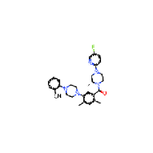 Cc1cc(C)c(N2CCN(c3ccccc3C#N)CC2)cc1C(=O)N1CCN(c2ccc(F)cn2)C[C@H]1C